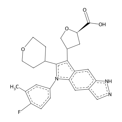 Cc1cc(-n2c(C3CCOCC3)c(C3CO[C@@H](C(=O)O)C3)c3cc4[nH]ncc4cc32)ccc1F